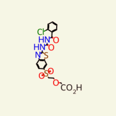 O=C(O)COCCS(=O)(=O)c1ccc2nc(NC(=O)NC(=O)c3ccccc3Cl)sc2c1